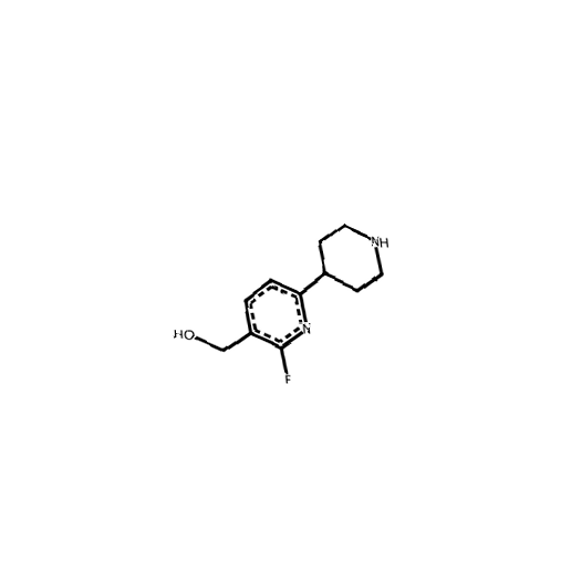 OCc1ccc(C2CCNCC2)nc1F